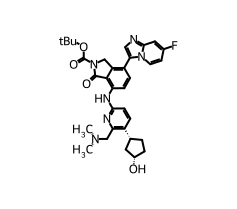 CN(C)Cc1nc(Nc2ccc(-c3cnc4cc(F)ccn34)c3c2C(=O)N(C(=O)OC(C)(C)C)C3)ccc1[C@@H]1CC[C@H](O)C1